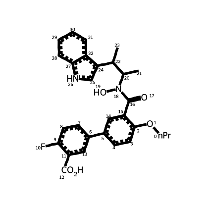 CCCOc1ccc(-c2ccc(F)c(C(=O)O)c2)cc1C(=O)N(O)C(C)C(C)c1c[nH]c2ccccc12